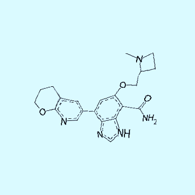 CN1CCC1COc1cc(-c2cnc3c(c2)CCCO3)c2nc[nH]c2c1C(N)=O